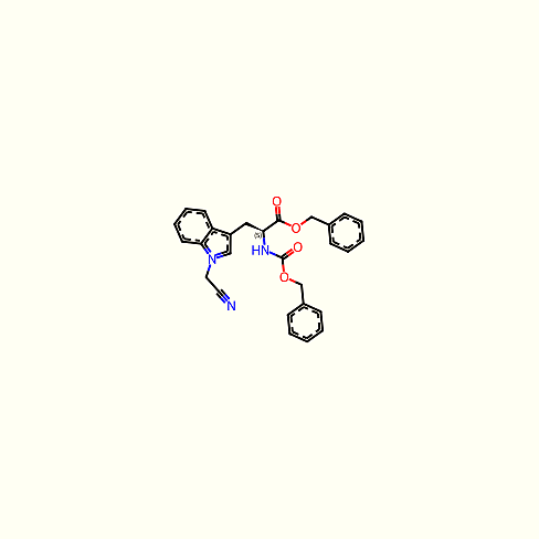 N#CCn1cc(C[C@H](NC(=O)OCc2ccccc2)C(=O)OCc2ccccc2)c2ccccc21